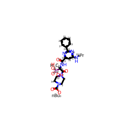 CCCCOC(=O)N1CCN(C(=O)[C@@](C)(NC(=O)c2cc(NC(C)C)nc(-c3ccccc3)n2)P(=O)(O)O)CC1